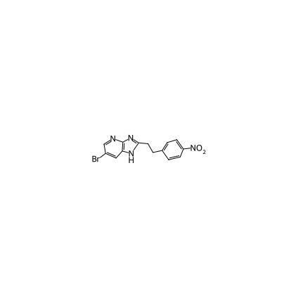 O=[N+]([O-])c1ccc(CCc2nc3ncc(Br)cc3[nH]2)cc1